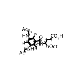 CCCCCCCCC(CCC(=O)O)NC(=O)c1c(I)c(NCC(C)=O)c(I)c(NCC(C)=O)c1I